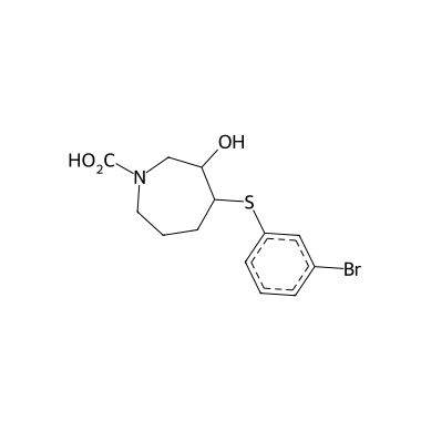 O=C(O)N1CCCC(Sc2cccc(Br)c2)C(O)C1